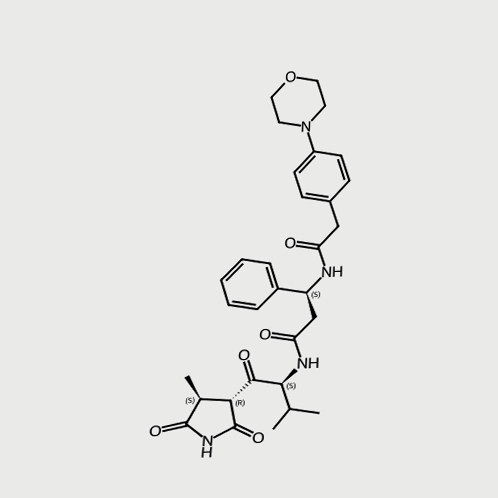 CC(C)[C@H](NC(=O)C[C@H](NC(=O)Cc1ccc(N2CCOCC2)cc1)c1ccccc1)C(=O)[C@@H]1C(=O)NC(=O)[C@H]1C